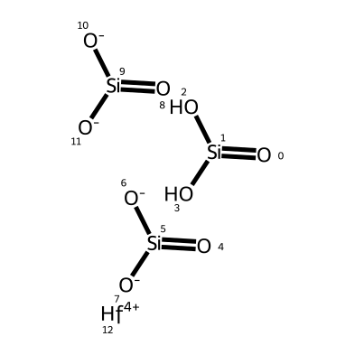 O=[Si](O)O.O=[Si]([O-])[O-].O=[Si]([O-])[O-].[Hf+4]